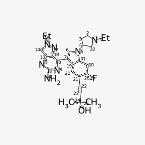 CCN1CCC(n2cc(-c3nc(N)nc4cn(CC)nc34)c3cc(C#CC(C)(C)O)c(F)cc32)C1